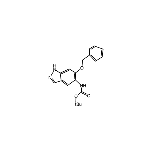 CC(C)(C)OC(=O)Nc1cc2cn[nH]c2cc1OCc1ccccc1